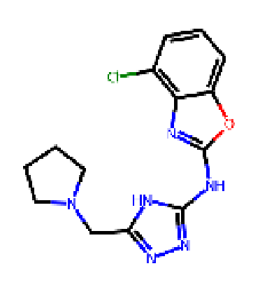 Clc1cccc2oc(Nc3nnc(CN4CCCC4)[nH]3)nc12